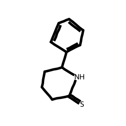 S=C1CCCC(c2ccccc2)N1